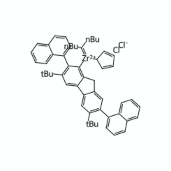 CCCC[C](CCCC)=[Zr+2]([c]1c2c(cc(C(C)(C)C)c1-c1cccc3ccccc13)-c1cc(C(C)(C)C)c(-c3cccc4ccccc34)cc1C2)[CH]1C=CC=C1.[Cl-].[Cl-]